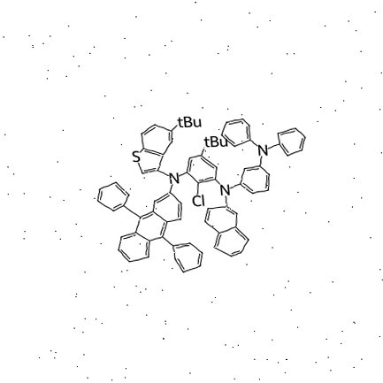 CC(C)(C)c1cc(N(c2cccc(N(c3ccccc3)c3ccccc3)c2)c2ccc3ccccc3c2)c(Cl)c(N(c2ccc3c(-c4ccccc4)c4ccccc4c(-c4ccccc4)c3c2)c2csc3ccc(C(C)(C)C)cc23)c1